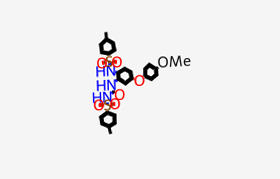 COc1ccc(Oc2ccc(NS(=O)(=O)c3ccc(C)cc3)c(NC(=O)NS(=O)(=O)c3ccc(C)cc3)c2)cc1